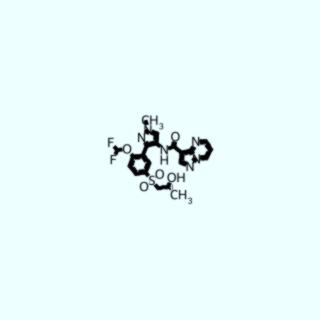 C[C@@H](O)CS(=O)(=O)c1ccc(OC(F)F)c(-c2nn(C)cc2NC(=O)c2cnn3cccnc23)c1